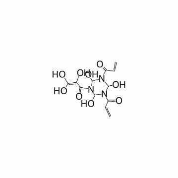 C=CC(=O)N1C(O)N(C(=O)C=C)C(O)N(C(=O)C(O)=C(O)O)C1O